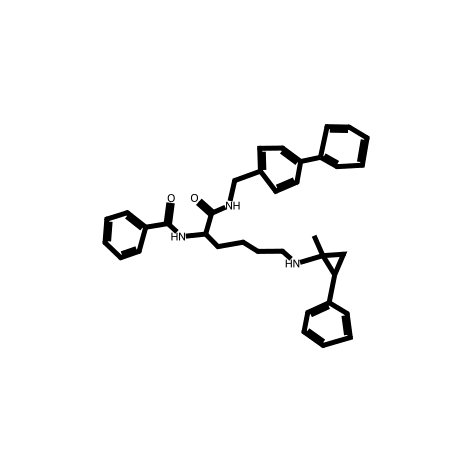 CC1(NCCCCC(NC(=O)c2ccccc2)C(=O)NCc2ccc(-c3ccccc3)cc2)CC1c1ccccc1